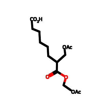 CC(=O)OCOC(=O)C(CCCCCC(=O)O)COC(C)=O